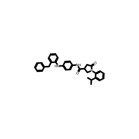 CC(C)c1ccccc1N1CC(C(=O)Nc2ccc(Nc3ccccc3Cc3ccccc3)cc2)CC1=O